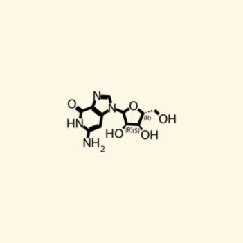 Nc1cc2c(ncn2C2O[C@H](CO)[C@@H](O)[C@H]2O)c(=O)[nH]1